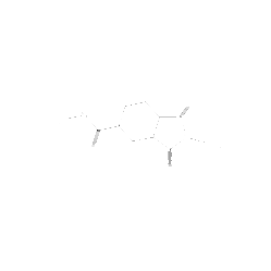 CNC(=O)C1CCC2C(=O)N(C)C(=O)C2C1